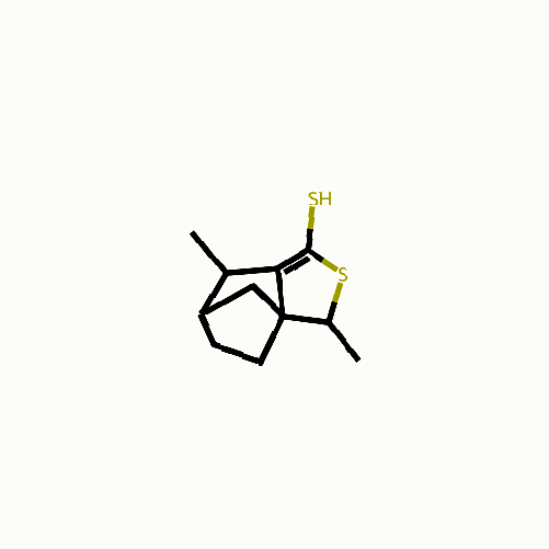 CC1C2=C(S)SC(C)C23CCC1C3